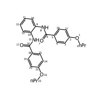 CCCOc1ccc(C(=O)Nc2ccccc2NC(=O)c2ccc(OCCC)cc2)cc1